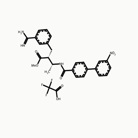 COC(=O)[C@H](Cc1cccc(C(=N)N)c1)[C@@H](C)NC(=O)c1ccc(-c2cccc([N+](=O)[O-])c2)cc1.O=C(O)C(F)(F)F